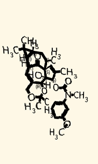 COc1cccc(N(C)C(=O)O[C@H]2C(C)=C[C@]34C(=O)[C@@H](C=C5COC(C)(C)O[C@H]5[C@]23O)[C@H]2[C@@H](C[C@H]4C)C2(C)C)c1